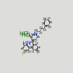 Cl.Cl.Fc1ccc(NC(c2ccc(F)cc2)C2CCN(CCCCc3ccccc3)CC2)cc1